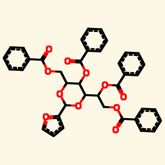 O=C(OCC1OC(c2ccco2)OC(C(COC(=O)c2ccccc2)OC(=O)c2ccccc2)C1OC(=O)c1ccccc1)c1ccccc1